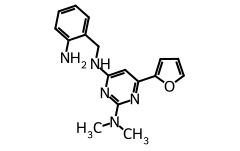 CN(C)c1nc(NCc2ccccc2N)cc(-c2ccco2)n1